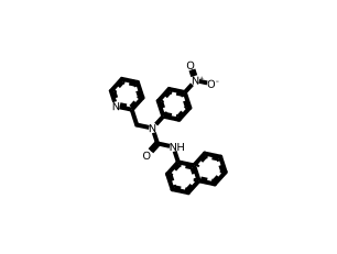 O=C(Nc1cccc2ccccc12)N(Cc1ccccn1)c1ccc([N+](=O)[O-])cc1